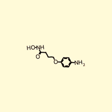 Nc1ccc(OCCCC(=O)NO)cc1